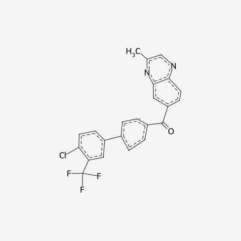 Cc1cnc2ccc(C(=O)c3[c]cc(-c4ccc(Cl)c(C(F)(F)F)c4)cc3)cc2n1